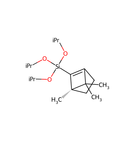 CC(C)O[Si](OC(C)C)(OC(C)C)C1=C2CC[C@]1(C)C2(C)C